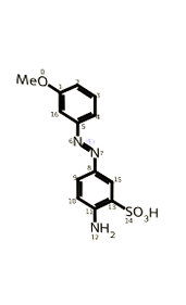 COc1cccc(/N=N/c2ccc(N)c(S(=O)(=O)O)c2)c1